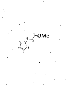 COCCCC1CC=CC1